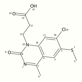 CSc1cc2c(C)nc(=O)n(CCC(=O)O)c2cc1Cl